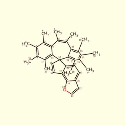 CC1=C(C)c2c(C)c(C)c(C)c(C)c2C2(C=Cc3c2ccc2ccoc32)c2c(C)c(C)c(C)c(C)c21